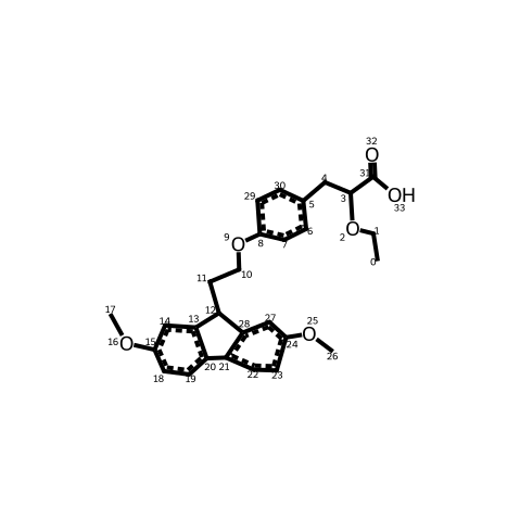 CCOC(Cc1ccc(OCCC2c3cc(OC)ccc3-c3ccc(OC)cc32)cc1)C(=O)O